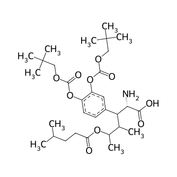 CC(C)CCC(=O)OC(C)C(C)C(c1ccc(OC(=O)OCC(C)(C)C)c(OC(=O)OCC(C)(C)C)c1)[C@H](N)C(=O)O